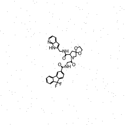 O=C(NCC(=O)N1CC2(CC1C(=O)NCc1cc3cccnc3[nH]1)OCCO2)c1ccc2c(c1)-c1ccccc1C2(F)F